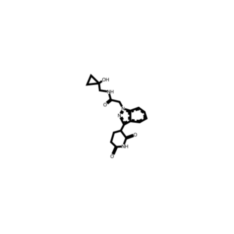 O=C(Cn1nc(C2CCC(=O)NC2=O)c2ccccc21)NCC1(O)CC1